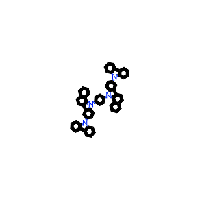 c1ccc2c(c1)ccc1c3cc(-n4c5ccccc5c5ccccc54)ccc3n(-c3ccc(-n4c5ccc(-n6c7ccccc7c7ccccc76)cc5c5ccc6ccccc6c54)cc3)c21